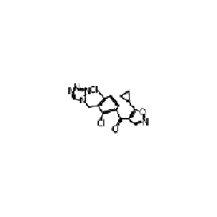 O=C(c1cnoc1C1CC1)c1ccc(Cl)c(Cn2cnnn2)c1Cl